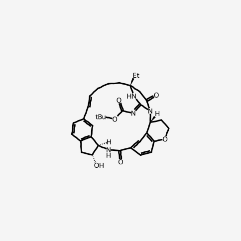 CC[C@@]12CCC/C=C/c3ccc4c(c3)[C@@H](NC(=O)c3ccc5c(c3)[C@@H](CCO5)N(C(=O)C1)/C(=N/C(=O)OC(C)(C)C)N2)[C@H](O)C4